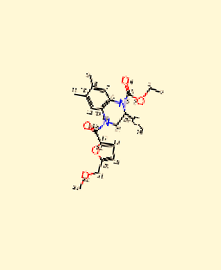 CCOC(=O)N1c2cc(C)c(C)cc2N(C(=O)c2ccc(COC)o2)CC1CC